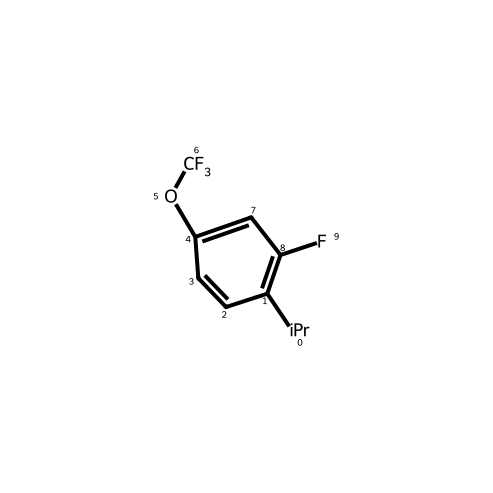 CC(C)c1ccc(OC(F)(F)F)cc1F